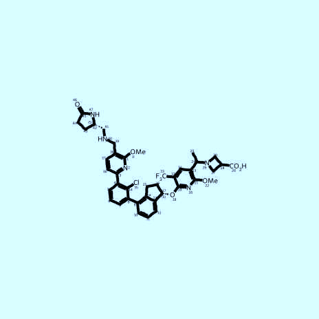 COc1nc(-c2cccc(-c3cccc4c3CC[C@@H]4Oc3nc(OC)c(C(C)N4CC(C(=O)O)C4)cc3C(F)(F)F)c2Cl)ccc1CNC[C@@H]1CCC(=O)N1